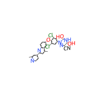 Cc1cc(-c2cc(C)c3cc(Oc4c(Cl)cc(N5N=C(C#N)C(O)NC5O)cc4Cl)ccc3n2)ccn1